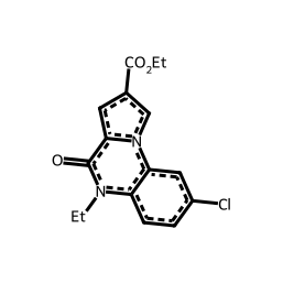 CCOC(=O)c1cc2c(=O)n(CC)c3ccc(Cl)cc3n2c1